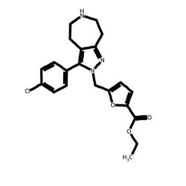 CCOC(=O)c1ccc(Cn2nc3c(c2-c2ccc(Cl)cc2)CCNCC3)o1